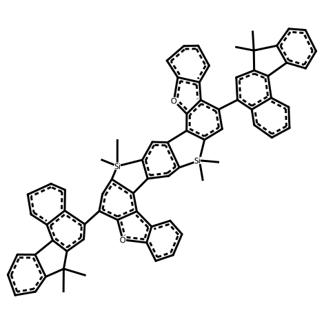 CC1(C)c2ccccc2-c2c1cc(-c1cc3c(c4c1oc1ccccc14)-c1cc4c(cc1[Si]3(C)C)-c1c(cc(-c3cc5c(c6ccccc36)-c3ccccc3C5(C)C)c3c1oc1ccccc13)[Si]4(C)C)c1ccccc21